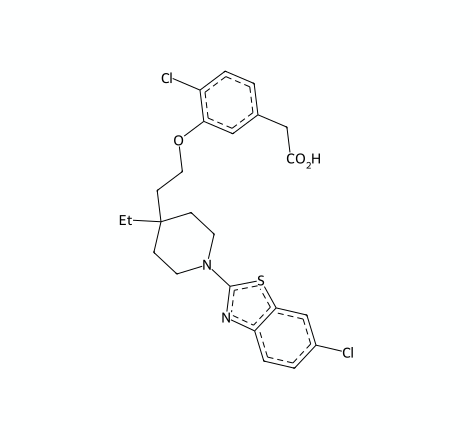 CCC1(CCOc2cc(CC(=O)O)ccc2Cl)CCN(c2nc3ccc(Cl)cc3s2)CC1